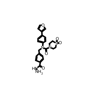 NNC(=O)c1ccc(CN(C(=O)N2CCS(=O)(=O)CC2)c2ccc(-c3ccoc3)cc2)cc1